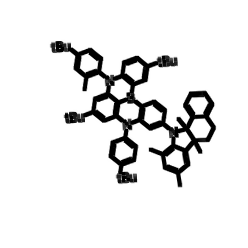 Cc1cc(C)c2c(c1)C1(C)CCc3ccccc3C1(C)N2c1ccc2c(c1)N(c1ccc(C(C)(C)C)cc1)c1cc(C(C)(C)C)cc3c1B2c1cc(C(C)(C)C)ccc1N3c1ccc(C(C)(C)C)cc1C